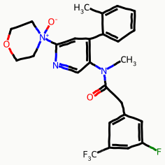 Cc1ccccc1-c1cc([N+]2([O-])CCOCC2)ncc1N(C)C(=O)Cc1cc(F)cc(C(F)(F)F)c1